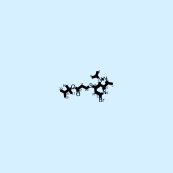 Cc1nn(C(C)C)c2c(SCCC(=O)OC(C)(C)C(C)C)cc(Br)nc12